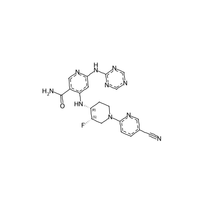 N#Cc1ccc(N2CC[C@@H](Nc3cc(Nc4ncncn4)ncc3C(N)=O)[C@@H](F)C2)nc1